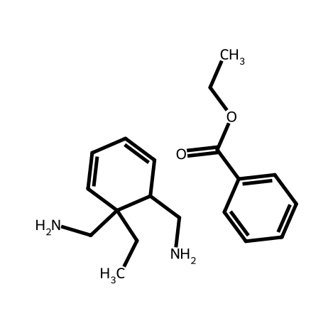 CCC1(CN)C=CC=CC1CN.CCOC(=O)c1ccccc1